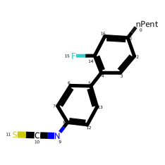 CCCCCc1ccc(-c2ccc(N=C=S)cc2)c(F)c1